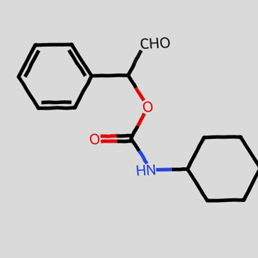 O=CC(OC(=O)NC1CCCCC1)c1ccccc1